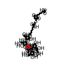 CNC(=O)CCCCCN1C(=O)CC(SCCC(=O)NCCCCCO[C@@H]2OC(CO)[C@H](O)[C@H](O[C@@H]3OC(CO)[C@@H](O)[C@H](O[C@@H]4OC(CO)[C@H](O[C@@H]5OC(CO)[C@H](O)[C@H](O)C5C)[C@H](O[C@@]5(C(=O)O)CC(O)[C@H](C)C([C@H](O)[C@H](O)CO)O5)C4O)C3NC(C)=O)C2O)C1=O